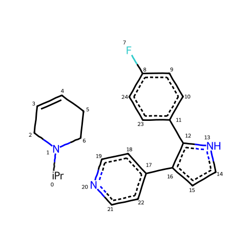 CC(C)N1CC=CCC1.Fc1ccc(-c2[nH]ccc2-c2ccncc2)cc1